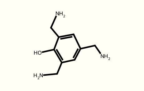 NCc1cc(CN)c(O)c(CN)c1